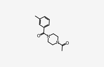 CC(=O)N1CCN(C(=O)c2cccc(C)c2)CC1